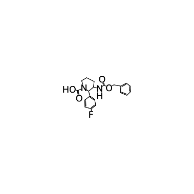 O=C(NC1CCCN(C(=O)O)C1c1ccc(F)cc1)OCc1ccccc1